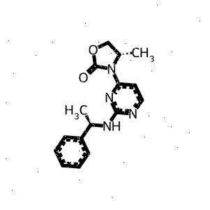 C[C@@H](Nc1nccc(N2C(=O)OC[C@@H]2C)n1)c1ccccc1